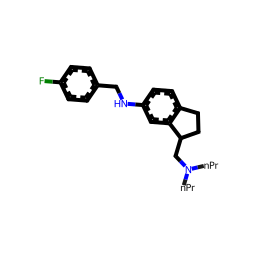 CCCN(CCC)CC1CCc2ccc(NCc3ccc(F)cc3)cc21